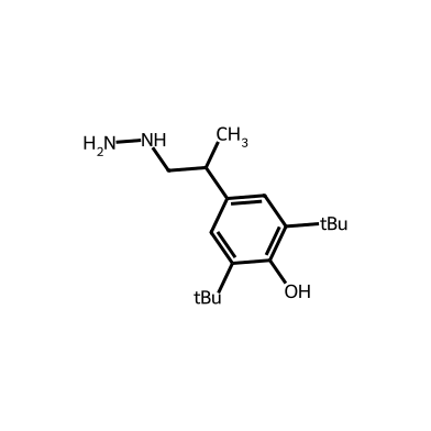 CC(CNN)c1cc(C(C)(C)C)c(O)c(C(C)(C)C)c1